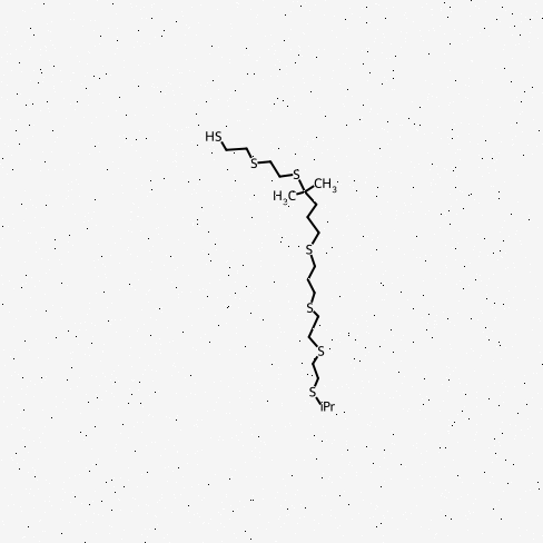 CC(C)SCCSCCSCCCSCCCC(C)(C)SCCSCCS